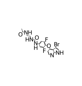 CC(=O)NCCNC(=O)Nc1cc(F)c(Oc2ccnc3[nH]cc(Br)c23)c(F)c1